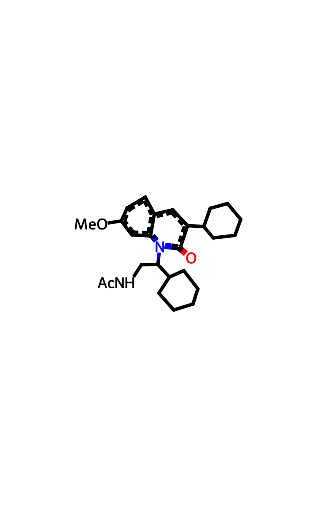 COc1ccc2cc(C3CCCCC3)c(=O)n(C(CNC(C)=O)C3CCCCC3)c2c1